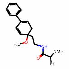 CCC(NC)C(=O)NCCC1(OC(F)(F)F)C=CC(c2ccccc2)=CC1